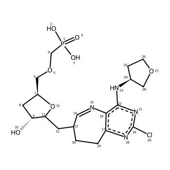 O=P(O)(O)COC[C@@H]1C[C@@H](O)C(CC2C=Nc3c(nc(Cl)nc3N[C@H]3CCOC3)CC2)O1